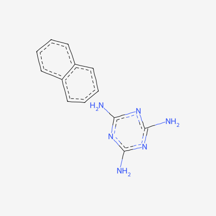 Nc1nc(N)nc(N)n1.c1ccc2ccccc2c1